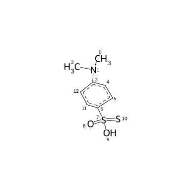 CN(C)c1ccc(S(=O)(O)=S)cc1